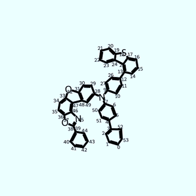 c1ccc(-c2ccc(N(c3ccc(-c4cccc5sc6ccccc6c45)cc3)c3ccc4oc5ccc6oc(-c7ccccc7)nc6c5c4c3)cc2)cc1